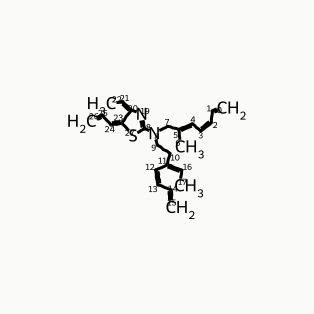 C=C/C=C\C=C(/C)CN(CCC(/C=C\C=C)=C/C)c1nc(=C/C)/c(=C\C=C)s1